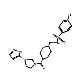 O=C(N1CCC(CNS(=O)(=O)c2ccc(Cl)cc2)CC1)N1CC[C@H](c2ncn[nH]2)C1